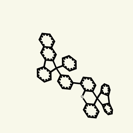 c1ccc(C2(c3cccc(-c4cccc5c4Oc4ccccc4C54c5ccccc5-c5ccccc54)c3)c3ccccc3-c3cc4ccccc4cc32)cc1